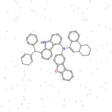 C1=CC(C(c2ccccc2)c2cccc3c2[nH]c2cccc(N(C4=CC5CCCCC5c5ccccc54)c4ccc5oc6ccccc6c5c4)c23)=CCC1